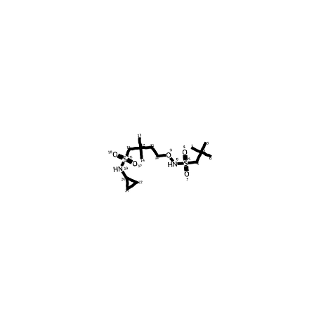 CC(C)(C)CS(=O)(=O)NOCCC(C)(C)CS(=O)(=O)NC1CC1